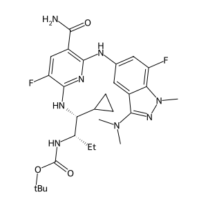 CC[C@H](NC(=O)OC(C)(C)C)[C@H](Nc1nc(Nc2cc(F)c3c(c2)c(N(C)C)nn3C)c(C(N)=O)cc1F)C1CC1